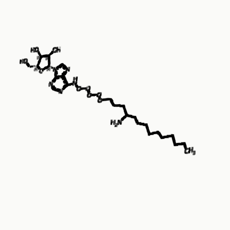 CCCCCCCCCCC(N)CCCOOOOONc1ncnc2c1ncn2[C@@H]1O[C@H](CO)[C@@H](O)[C@H]1O